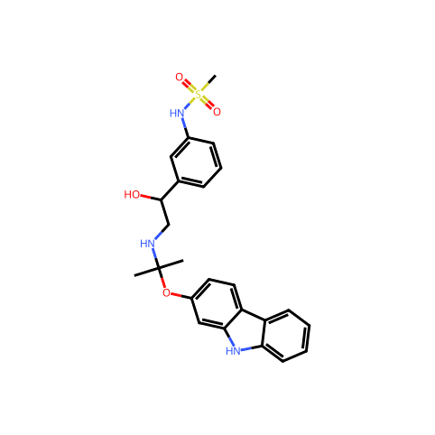 CC(C)(NCC(O)c1cccc(NS(C)(=O)=O)c1)Oc1ccc2c(c1)[nH]c1ccccc12